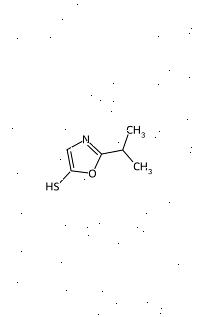 CC(C)c1ncc(S)o1